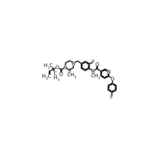 C=CC(C)(C)OC(=O)N1CCN(Cc2ccc(N(C)C(=O)c3ccc(Oc4ccc(F)cc4)nc3)c(F)c2)C[C@@H]1C